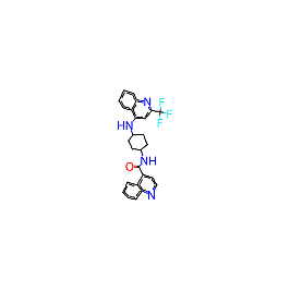 O=C(NC1CCC(Nc2cc(C(F)(F)F)nc3ccccc23)CC1)c1ccnc2ccccc12